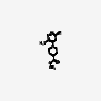 COC(=O)C1CCN(c2cc(Cl)nnc2N)CC1